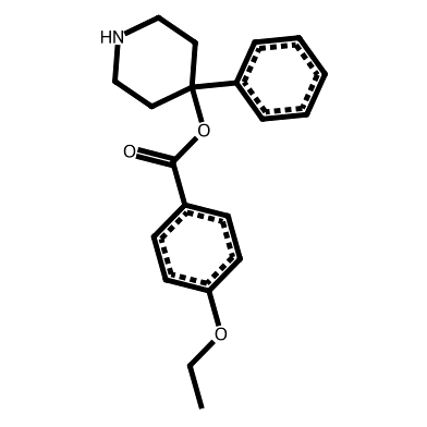 CCOc1ccc(C(=O)OC2(c3ccccc3)CCNCC2)cc1